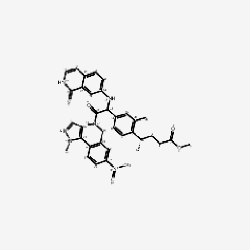 COC(=O)CC[C@H](C)c1ccc(C(Nc2ccc3cc[nH]c(=O)c3c2)C(=O)N(C)Cc2cc([N+](=O)[O-])ccc2-c2ccnn2C)cc1C